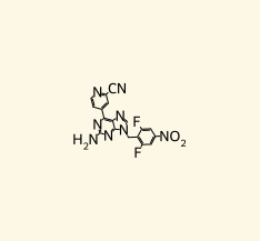 N#Cc1cc(-c2nc(N)nc3c2ncn3Cc2c(F)cc([N+](=O)[O-])cc2F)ccn1